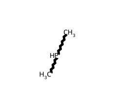 CCCCCCCCCCPCCCCCCCC